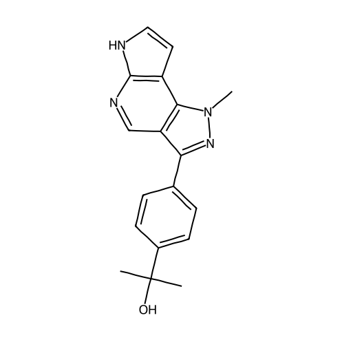 Cn1nc(-c2ccc(C(C)(C)O)cc2)c2cnc3[nH]ccc3c21